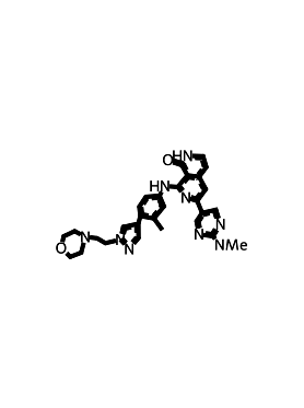 CNc1ncc(-c2cc3cc[nH]c(=O)c3c(Nc3ccc(-c4cnn(CCN5CCOCC5)c4)c(C)c3)n2)cn1